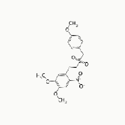 COc1ccc(CS(=O)(=O)C=Cc2cc(OC)c(OC)cc2[N+](=O)[O-])cc1